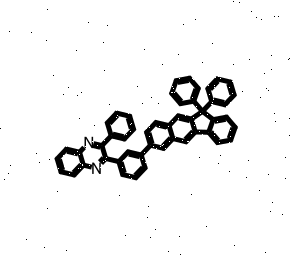 c1ccc(-c2nc3ccccc3nc2-c2cccc(-c3ccc4cc5c(cc4c3)-c3ccccc3C5(c3ccccc3)c3ccccc3)c2)cc1